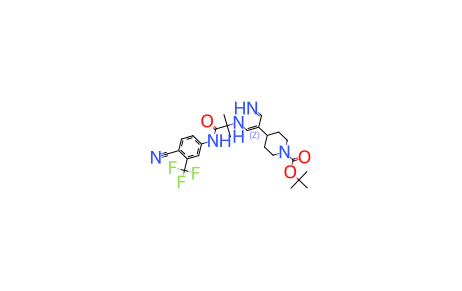 CC(C)(C)OC(=O)N1CCC(/C(C=N)=C/NC(C)(C)C(=O)Nc2ccc(C#N)c(C(F)(F)F)c2)CC1